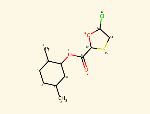 CC1CCC(C(C)C)C(OC(=O)C2OC(Cl)CS2)C1